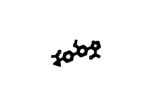 COc1cc(-c2sccc2C(C)=O)ccc1-c1ccc(C2(C(C)=O)CC2)cc1